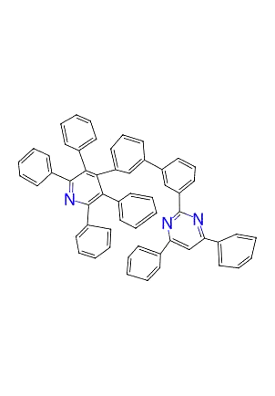 c1ccc(-c2cc(-c3ccccc3)nc(-c3cccc(-c4cccc(-c5c(-c6ccccc6)c(-c6ccccc6)nc(-c6ccccc6)c5-c5ccccc5)c4)c3)n2)cc1